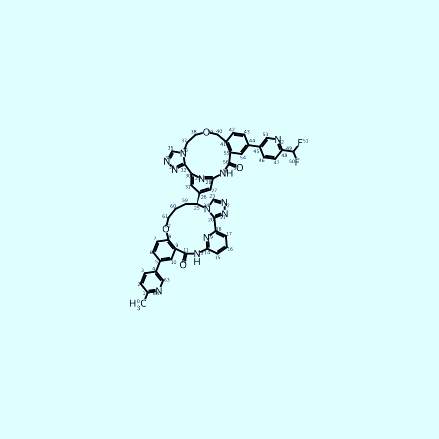 Cc1ccc(-c2ccc3c(c2)C(=O)Nc2cccc(n2)-c2nncn2[C@H](c2cc4nc(c2)-c2nncn2CCOCc2ccc(-c5ccc(C(F)F)nc5)cc2C(=O)N4)CCCO3)cn1